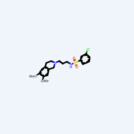 COc1cc2c(cc1OC)CN(CCCNS(=O)(=O)c1cccc(Cl)c1)CC2